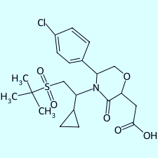 CC(C)(C)S(=O)(=O)CC(C1CC1)N1C(=O)C(CC(=O)O)OCC1c1ccc(Cl)cc1